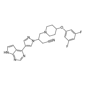 N#CCC(CN1CCC(Oc2cc(F)cc(F)c2)CC1)n1cc(-c2ncnc3[nH]ccc23)cn1